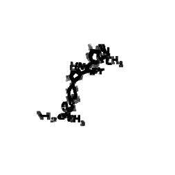 Cc1nnc2ccc(-c3[nH]c4ccc(C5CCN(CC(=O)N(C)C)CC5)cc4c3C(C)C)cn12